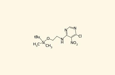 CC(C)(C)[Si](C)(C)OCCNc1ncnc(Cl)c1[N+](=O)[O-]